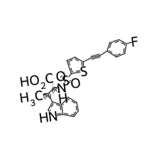 C[C@H](c1c[nH]c2ccccc12)[C@@H](NS(=O)(=O)c1ccc(C#Cc2ccc(F)cc2)s1)C(=O)O